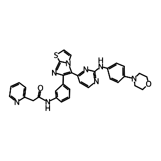 O=C(Cc1ccccn1)Nc1cccc(-c2nc3sccn3c2-c2ccnc(Nc3ccc(N4CCOCC4)cc3)n2)c1